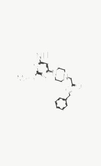 CSc1nc(N)cc(N2CCN(CC(=O)OCc3ccccc3)CC2)n1